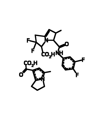 CC1C=C2CC(F)(F)C(C(=O)O)N2C1C(=O)Nc1ccc(F)c(F)c1.Cc1cc(C(=O)C(=O)O)c2n1CCC2